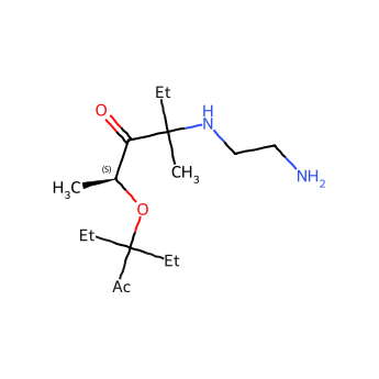 CCC(C)(NCCN)C(=O)[C@H](C)OC(CC)(CC)C(C)=O